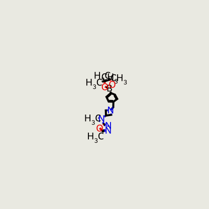 Cc1nnc(N(C)C2CN(Cc3ccc(B4OC(C)(C)C(C)(C)O4)cc3)C2)o1